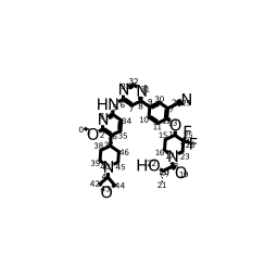 COc1nc(Nc2cc(-c3ccc(OC4CCN(C(=O)[C@H](C)O)CC4(F)F)c(C#N)c3)ncn2)ccc1C1CCN(C2COC2)CC1